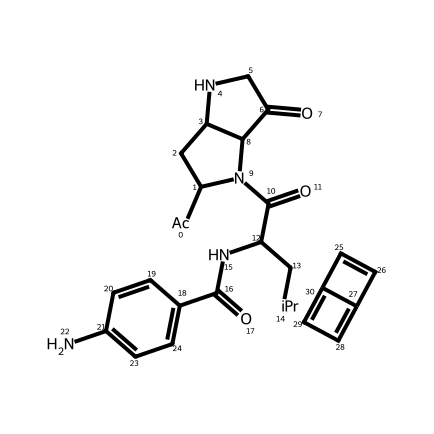 CC(=O)C1CC2NCC(=O)C2N1C(=O)C(CC(C)C)NC(=O)c1ccc(N)cc1.c1cc2ccc1-2